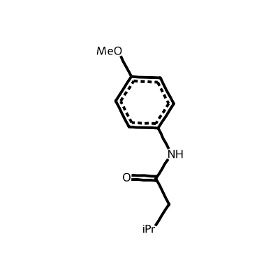 COc1ccc(NC(=O)CC(C)C)cc1